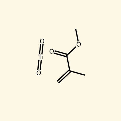 C=C(C)C(=O)OC.[O]=[Ti]=[O]